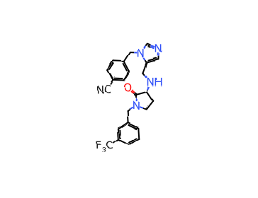 N#Cc1ccc(Cn2cncc2CN[C@H]2CCN(Cc3cccc(C(F)(F)F)c3)C2=O)cc1